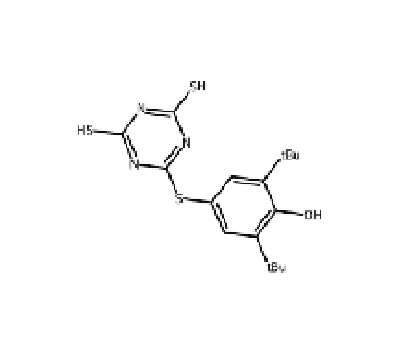 CC(C)(C)c1cc(Sc2nc(S)nc(S)n2)cc(C(C)(C)C)c1O